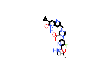 CNC(=O)c1ncc(N2CCN(Cc3cnc4cc(C5CC5)c(=O)[nH]c4c3)C[C@H]2CO)cc1F